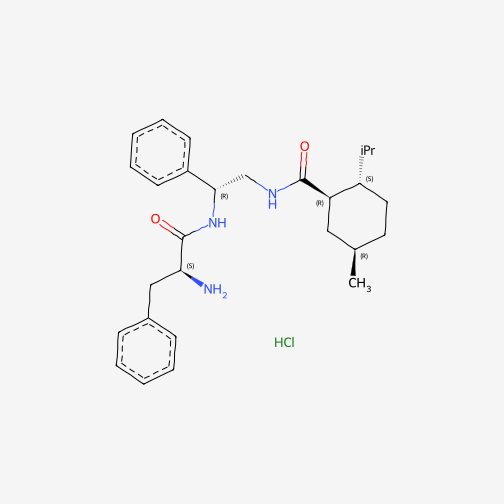 CC(C)[C@@H]1CC[C@@H](C)C[C@H]1C(=O)NC[C@H](NC(=O)[C@@H](N)Cc1ccccc1)c1ccccc1.Cl